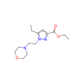 CCOC(=O)c1cc(CC)n(CCN2CCOCC2)n1